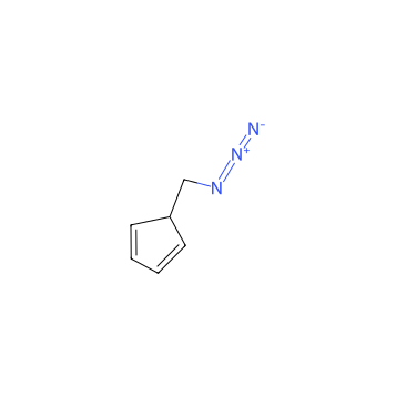 [N-]=[N+]=NCC1C=CC=C1